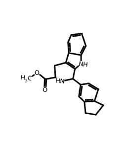 COC(=O)C1Cc2c([nH]c3ccccc23)C(c2ccc3c(c2)CCC3)N1